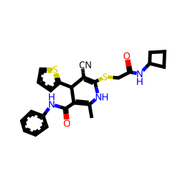 CC1=C(C(=O)Nc2ccccc2)C(c2cccs2)C(C#N)=C(SCC(=O)NC2CCC2)N1